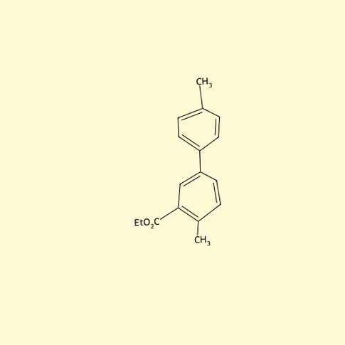 CCOC(=O)c1cc(-c2ccc(C)cc2)ccc1C